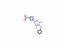 CC1CC(n2cc([N+](=O)[O-])cn2)C[C@@H](C)N1Cc1ccccc1